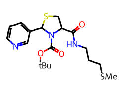 CSCCCNC(=O)C1CSC(c2cccnc2)N1C(=O)OC(C)(C)C